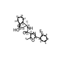 Cc1oc(-c2ccccc2F)nc1C(=O)N[C@@](C)(CC(=O)O)c1ccccc1